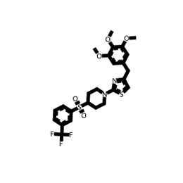 COc1cc(Cc2csc(N3CCC(S(=O)(=O)c4cccc(C(F)(F)F)c4)CC3)n2)cc(OC)c1OC